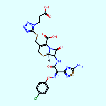 Nc1nc(/C(=N/Oc2ccc(Cl)cc2)C(=O)NC2C(=O)N3C(C(=O)O)=C(CSc4nnnn4CCC(=O)O)CS[C@H]23)ns1